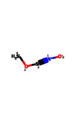 [O-][N+]#[Si]O[SiH3]